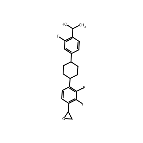 CC(O)c1ccc(C2CCC(c3ccc(C4CO4)c(F)c3F)CC2)cc1F